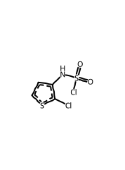 O=S(=O)(Cl)Nc1ccsc1Cl